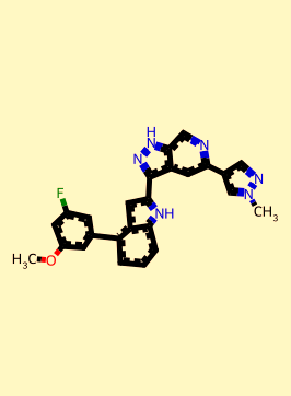 COc1cc(F)cc(-c2cccc3[nH]c(-c4n[nH]c5cnc(-c6cnn(C)c6)cc45)cc23)c1